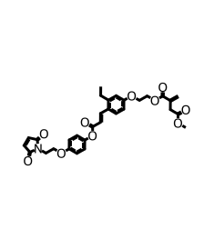 C=C(CC(=O)OC)C(=O)OCCOc1ccc(/C=C/C(=O)Oc2ccc(OCCN3C(=O)C=CC3=O)cc2)c(CC)c1